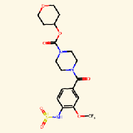 O=C(OC1CCOCC1)N1CCN(C(=O)c2ccc(N[SH](=O)=O)c(OC(F)(F)F)c2)CC1